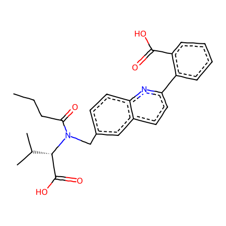 CCCC(=O)N(Cc1ccc2nc(-c3ccccc3C(=O)O)ccc2c1)[C@H](C(=O)O)C(C)C